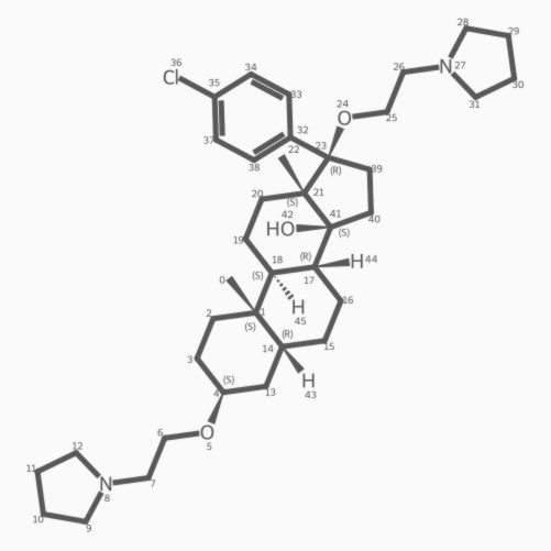 C[C@]12CC[C@H](OCCN3CCCC3)C[C@H]1CC[C@@H]1[C@@H]2CC[C@]2(C)[C@](OCCN3CCCC3)(c3ccc(Cl)cc3)CC[C@]12O